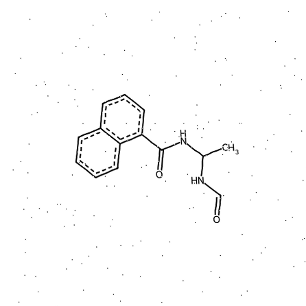 CC(N[C]=O)NC(=O)c1cccc2ccccc12